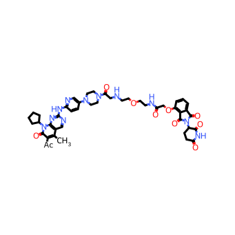 CC(=O)c1c(C)c2cnc(Nc3ccc(N4CCN(C(=O)CNCCOCCNC(=O)COc5cccc6c5C(=O)N(C5CCC(=O)NC5=O)C6=O)CC4)cn3)nc2n(C2CCCC2)c1=O